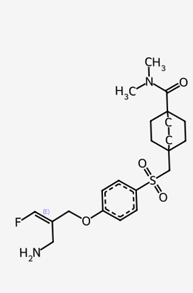 CN(C)C(=O)C12CCC(CS(=O)(=O)c3ccc(OC/C(=C/F)CN)cc3)(CC1)CC2